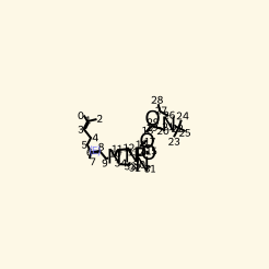 CC(C)=CCC/C(C)=C/CN1CCN(P(=O)(COCC2CN(C(C)(C)C)CC(C)O2)N(C)C)CC1